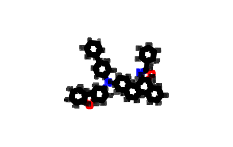 c1ccc(-c2ccc(N(c3ccc4c(ccc5c6ccccc6c6oc(-c7ccccc7)nc6c45)c3)c3ccc4oc5ccccc5c4c3)cc2)cc1